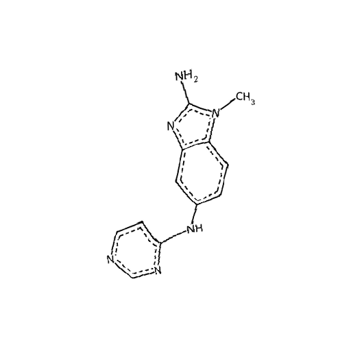 Cn1c(N)nc2cc(Nc3ccncn3)ccc21